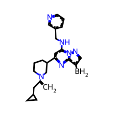 Bc1cnn2c(NCc3cccnc3)cc(C3CCCN(C(=C)CC4CC4)C3)nc12